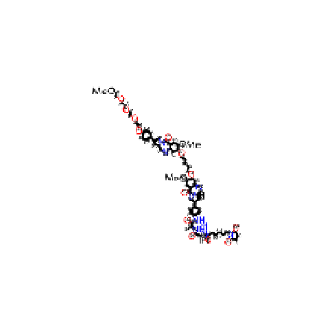 COCCOCCOCCOCCOc1ccc(C2=CN3C(=O)c4cc(OC)c(OCCCCCOc5cc6c(cc5OC)C(=O)N5C=C(c7ccc(NC(=O)[C@H](C)NC(=O)C(NC(=O)CCCCCN8C(=O)C=CC8=O)C(C)C)cc7)C[C@@H]5C=N6)cc4N=CC3C2)cc1